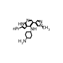 CCCc1cc2c(N[C@H]3CC[C@H](N)CC3)c(-c3cnn(C)c3)cnc2[nH]1